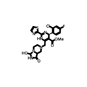 COC(=O)C1=C(CN2CCN3C(O)NC(=O)C3C2)NC(c2nccs2)=N[C@H]1c1ccc(F)cc1Cl